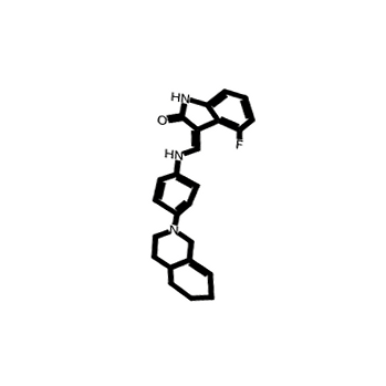 O=C1Nc2cccc(F)c2C1=CNc1ccc(N2CCC3CCCC=C3C2)cc1